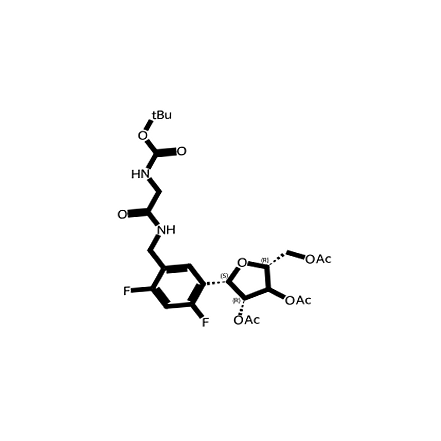 CC(=O)OC[C@H]1O[C@@H](c2cc(CNC(=O)CNC(=O)OC(C)(C)C)c(F)cc2F)[C@@H](OC(C)=O)C1OC(C)=O